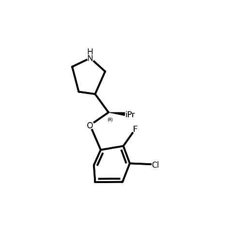 CC(C)[C@@H](Oc1cccc(Cl)c1F)C1CCNC1